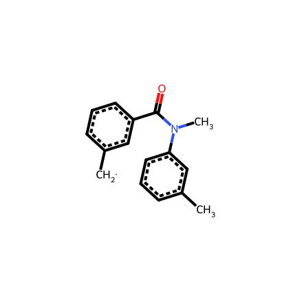 [CH2]c1cccc(C(=O)N(C)c2cccc(C)c2)c1